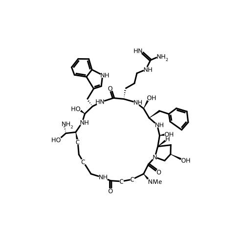 CN[C@H]1CCC(=O)NCCCC[C@@H]([C@@H](N)O)N[C@@H](O)[C@H](Cc2c[nH]c3ccccc23)NC(=O)[C@H](CCCNC(=N)N)N[C@@H](O)[C@@H](Cc2ccccc2)N[C@@H](O)[C@@H]2C[C@@H](O)CN2C1=O